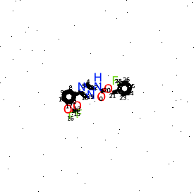 O=C(Nc1cnc(-c2cccc3c2OC(F)(F)O3)cn1)OCc1ccccc1F